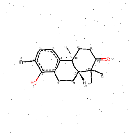 CC(C)c1ccc2c(c1O)CC[C@H]1C(C)(C)C(=O)CC[C@]21C